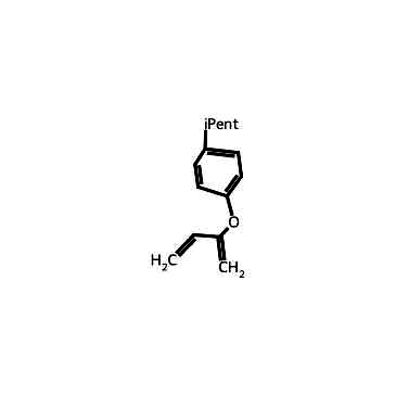 C=CC(=C)Oc1ccc(C(C)CCC)cc1